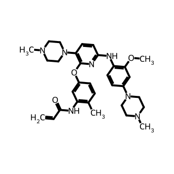 C=CC(=O)Nc1cc(Oc2nc(Nc3ccc(N4CCN(C)CC4)cc3OC)ccc2N2CCN(C)CC2)ccc1C